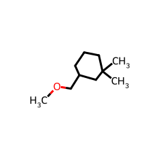 COCC1CCCC(C)(C)C1